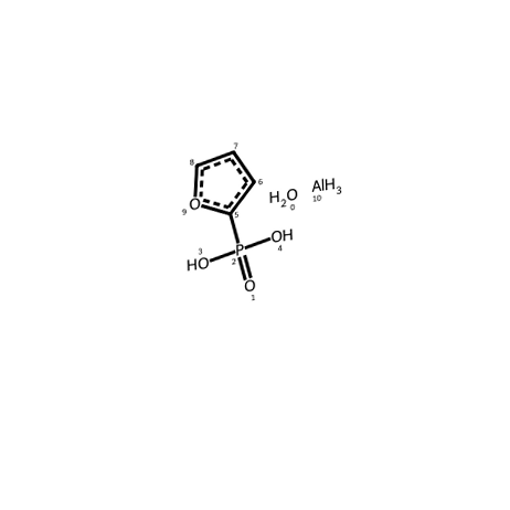 O.O=P(O)(O)c1ccco1.[AlH3]